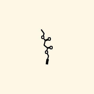 C#CCOC(=O)CC(=O)OCC